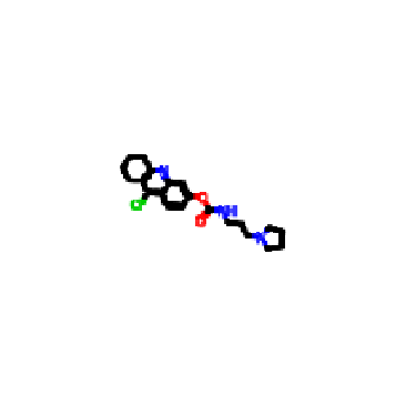 O=C(NCCCN1CCCC1)Oc1ccc2c(Cl)c3c(nc2c1)CCCC3